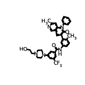 Cc1cc2c(cn1)cc(-c1cc(NC(=O)c3cc(N4CCN(CCO)CC4)cc(C(F)(F)F)c3)ccc1C)c(=O)n2-c1ccccc1